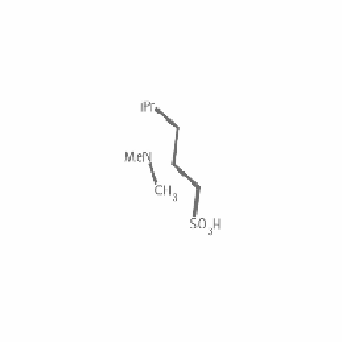 CC(C)CCCS(=O)(=O)O.CNC